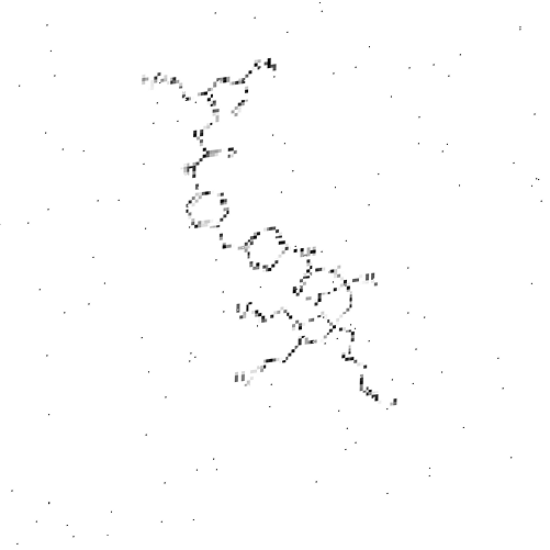 C=CCOCC(COCC=C)(COCC=C)CC(C)(C)OC(=O)Nc1ccc(Cc2ccc(NC(=O)Oc3ccc(C)cc3CC=C)cc2)cc1